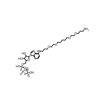 NCCCOCCOCCCCCOCCOCCCNc1ccnc2c1ncn2C1OC(COP(=O)(O)OP(=O)(O)OP(=O)(O)O)C(O)C1O